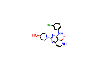 O=c1[nH]ccc2nc(N3CCC(O)CC3)nc(Nc3cccc(Br)c3)c12